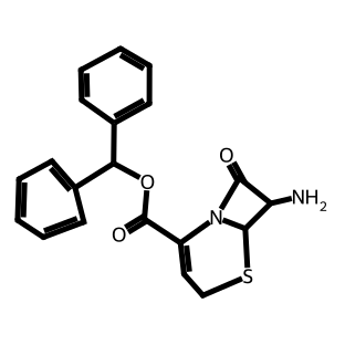 NC1C(=O)N2C(C(=O)OC(c3ccccc3)c3ccccc3)=CCSC12